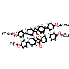 CCCCCOC1CCC(C2CCC3(CC2)CC2(CCC(C4CCC(OCCCCC)CC4)CC2)C3=O)CC1.CCCCOC1CCC([C@H]2CC[C@]3(CC2)C[C@@]2(CC[C@H]([C@H]4CC[C@H](OCCCC)CC4)CC2)C3=O)CC1